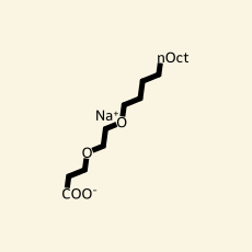 CCCCCCCCCCCCOCCOCCC(=O)[O-].[Na+]